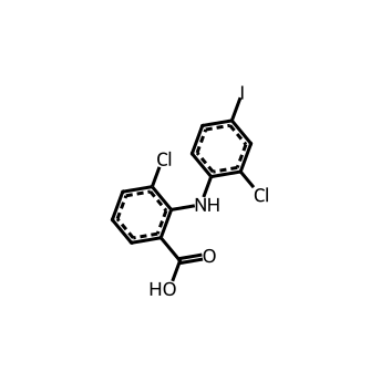 O=C(O)c1cccc(Cl)c1Nc1ccc(I)cc1Cl